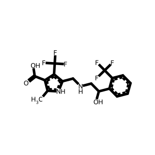 Cc1[nH]c(CNCC(O)c2ccccc2C(F)(F)F)c(C(F)(F)F)c1C(=O)O